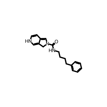 O=C(NCCCCc1ccccc1)N1C=C2C=CNC=C2C1